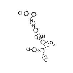 O=C(NS(=O)(=O)c1ccc(N[C@H](CCN2CCOCC2)CSc2ccc(Cl)cc2)c([N+](=O)[O-])c1)c1ccc(N2CCN(Cc3ccccc3-c3ccc(Cl)cc3)CC2)cc1